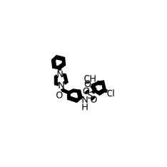 COc1ccc(Cl)cc1S(=O)(=O)NC1=CCC(C(=O)N2CCN(c3ccccc3)CC2)C=C1